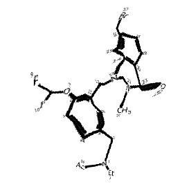 CCN(Cc1ccc(OC(F)F)c(Cn2c3cc(Br)ccc3c(=O)n2C)c1)C(C)=O